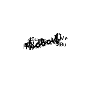 CN[C@@H](CC(C)C)c1nc(-c2ccc(-c3ccc(-c4ccc(-c5c[nH]c([C@@H]6C[C@H]7CC7N6C(=O)OC(C)(C)C)n5)cc4)c4[nH]ccc34)cc2)cn1C(=O)OC(C)(C)C